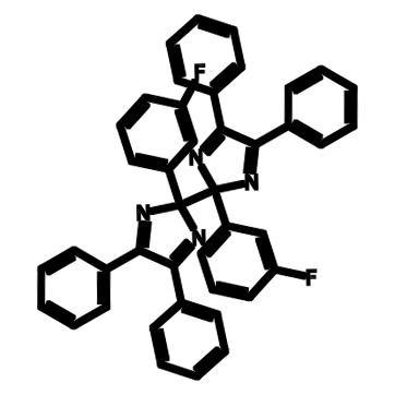 Fc1cccc(C2(C3(c4cccc(F)c4)N=C(c4ccccc4)C(c4ccccc4)=N3)N=C(c3ccccc3)C(c3ccccc3)=N2)c1